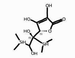 C[SiH](C)C(O)[C@](O)([C@H]1OC(=O)C(O)=C1O)[SiH](C)C